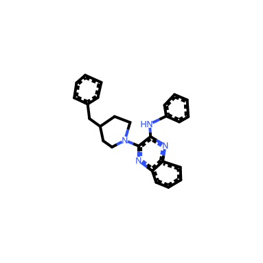 c1ccc(CC2CCN(c3nc4ccccc4nc3Nc3ccccc3)CC2)cc1